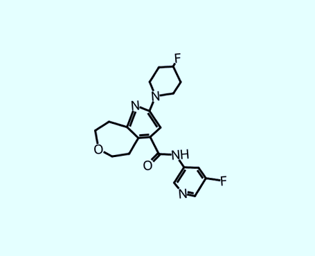 O=C(Nc1cncc(F)c1)c1cc(N2CCC(F)CC2)nc2c1CCOCC2